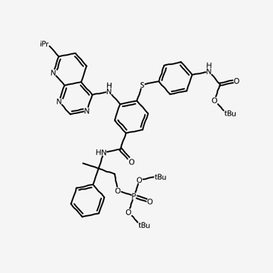 CC(C)c1ccc2c(Nc3cc(C(=O)NC(C)(COP(=O)(OC(C)(C)C)OC(C)(C)C)c4ccccc4)ccc3Sc3ccc(NC(=O)OC(C)(C)C)cc3)ncnc2n1